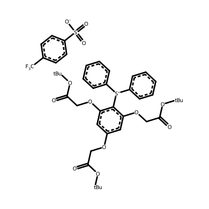 CC(C)(C)OC(=O)COc1cc(OCC(=O)OC(C)(C)C)c([S+](c2ccccc2)c2ccccc2)c(OCC(=O)OC(C)(C)C)c1.O=S(=O)([O-])c1ccc(C(F)(F)F)cc1